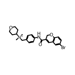 C[N+](C)(Cc1ccc(NC(=O)C2=Cc3cc(Br)ccc3OC2)cc1)C1CCOCC1